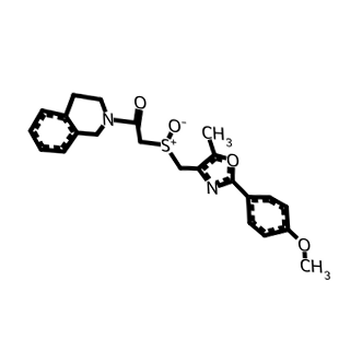 COc1ccc(-c2nc(C[S+]([O-])CC(=O)N3CCc4ccccc4C3)c(C)o2)cc1